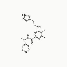 Cc1nc(C(=O)NC(C)c2ccncc2)nc(NCCc2cn[nH]c2)c1C